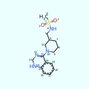 CS(=O)(=O)NCC1CCCN(C2=NCNc3ccccc32)C1